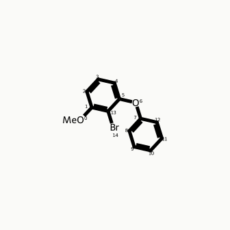 COc1cccc(Oc2ccccc2)c1Br